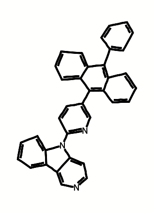 c1ccc(-c2c3ccccc3c(-c3ccc(-n4c5ccccc5c5cnccc54)nc3)c3ccccc23)cc1